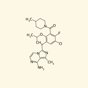 Cc1nc(Cc2cc(Cl)c(F)c(C(=O)N3CCC(C)CC3)c2OC(C)C)n2ccnc(N)c12